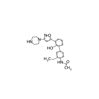 CCc1cc(-c2cccc(-c3cc(N4CCNCC4)no3)c2O)ccc1NC(C)=O